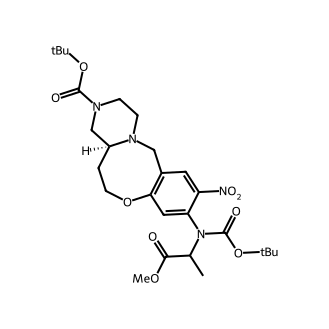 COC(=O)C(C)N(C(=O)OC(C)(C)C)c1cc2c(cc1[N+](=O)[O-])CN1CCN(C(=O)OC(C)(C)C)C[C@@H]1CCO2